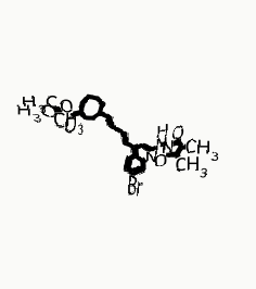 CC1=C(C)C(=O)N(Nc2cc(CCCCC3CCCCC(C(=O)OC(C)(C)C)CC3)c3ccc(Br)cc3n2)C1=O